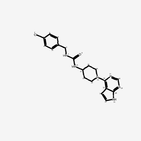 O=C(NCc1ccc(Cl)cc1)NC1CCN(c2ncnc3[nH]ccc23)CC1